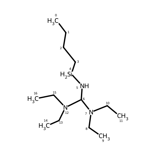 CCCC[SiH2]NC(N(CC)CC)N(CC)CC